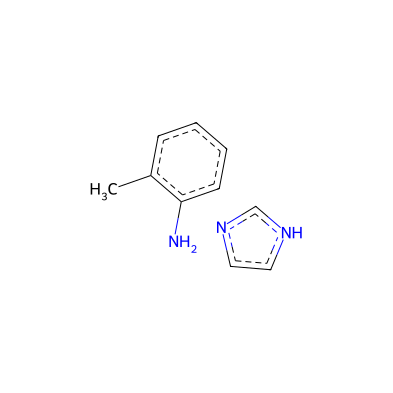 Cc1ccccc1N.c1c[nH]cn1